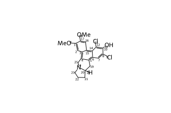 COc1cc2c3c(c4cc(Cl)c(O)c(Cl)c4c2cc1OC)C[C@@H]1CCCN1C3